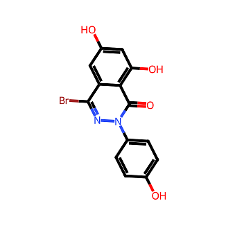 O=c1c2c(O)cc(O)cc2c(Br)nn1-c1ccc(O)cc1